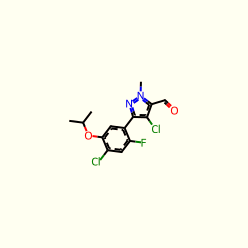 CC(C)Oc1cc(-c2nn(C)c(C=O)c2Cl)c(F)cc1Cl